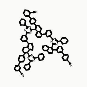 N#Cc1ccc(-c2cccc(-c3ccc4ccccc4c3-c3nc(-c4ccccc4)nc(-c4cccc(-c5cccc6c(-c7nc(-c8ccccc8)nc(-c8cccc(-c9cccc%10c(-c%11nc(-c%12ccccc%12)nc(-c%12ccccc%12)n%11)c(-c%11ccc(-c%12cccc(C#N)c%12)cc%11)ccc9%10)c8)n7)c(-c7ccc(-c8ccccc8C#N)cc7)ccc56)c4)n3)c2)cc1